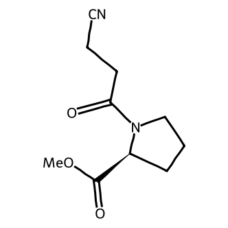 COC(=O)[C@@H]1CCCN1C(=O)CCC#N